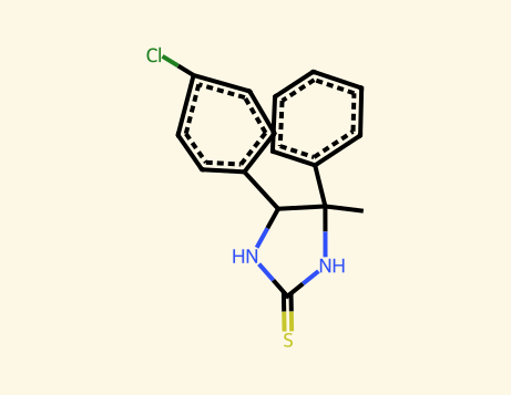 CC1(c2ccccc2)NC(=S)NC1c1ccc(Cl)cc1